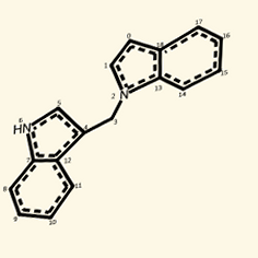 [c]1cn(Cc2c[nH]c3ccccc23)c2ccccc12